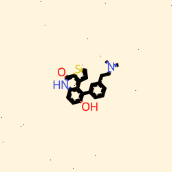 CN(C)CCc1cccc(-c2c(O)ccc3[nH]c(=O)c4sccc4c23)c1